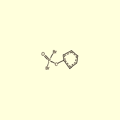 O=P(Br)(Br)Oc1ccccc1